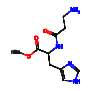 CCCCOC(=O)C(Cc1c[nH]cn1)NC(=O)CCN